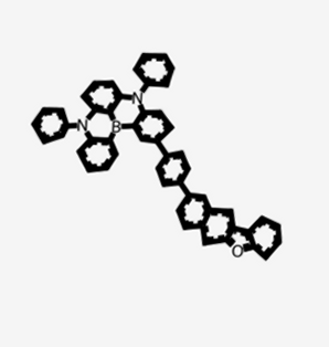 c1ccc(N2c3ccccc3B3c4cc(-c5ccc(-c6ccc7cc8oc9ccccc9c8cc7c6)cc5)ccc4N(c4ccccc4)c4cccc2c43)cc1